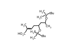 CC(=CCC(CC(C)O[Si](C)(C)C(C)(C)C)O[Si](C)(C)C(C)(C)C)C(=O)O